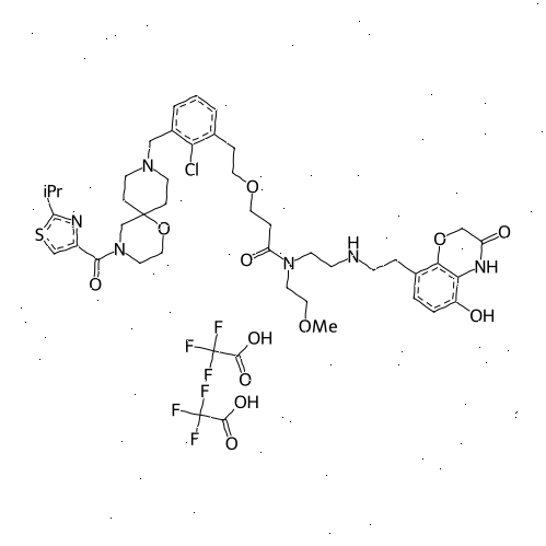 COCCN(CCNCCc1ccc(O)c2c1OCC(=O)N2)C(=O)CCOCCc1cccc(CN2CCC3(CC2)CN(C(=O)c2csc(C(C)C)n2)CCO3)c1Cl.O=C(O)C(F)(F)F.O=C(O)C(F)(F)F